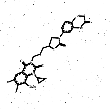 COc1c(F)c(F)cc2c(=O)n(CCCC3CN(c4ccc5c(c4)NC(=O)CS5)C(=O)O3)c(=O)n(C3CC3)c12